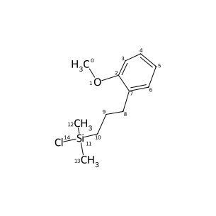 COc1ccccc1CCC[Si](C)(C)Cl